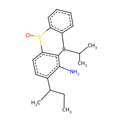 CCC(C)c1ccc2c(c1N)B(C(C)C)c1ccccc1[S+]2[O-]